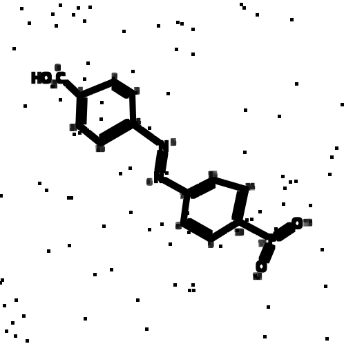 O=C(O)c1ccc(N=Nc2ccc(P(=O)=O)cc2)cc1